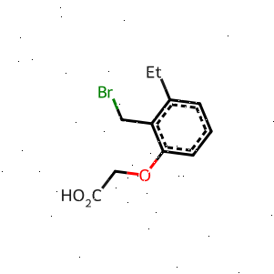 CCc1cccc(OCC(=O)O)c1CBr